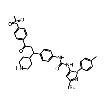 Cc1ccc(-n2nc(C(C)(C)C)cc2NC(=O)Nc2ccc(C(CC(=O)c3ccc(S(C)(=O)=O)cc3)C3CCNCC3)cc2)cc1